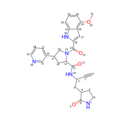 C#CC(CC1CCNC1=O)NC(=O)C1CC(c2cccnc2)CN1C(=O)c1cc2c(OC)cccc2[nH]1